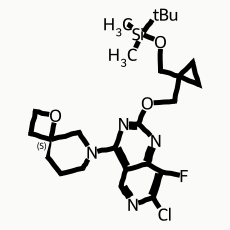 CC(C)(C)[Si](C)(C)OCC1(COc2nc(N3CCC[C@]4(CCO4)C3)c3cnc(Cl)c(F)c3n2)CC1